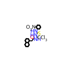 O=C(Cc1cccc2ccccc12)NC(NC(=S)Nc1ccccc1[N+](=O)[O-])C(Cl)(Cl)Cl